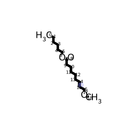 CCCCCCOC(=O)CCCCC/C=C/COC